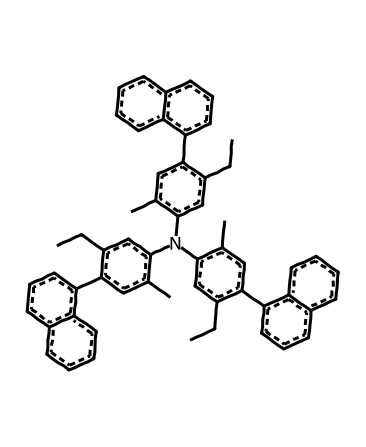 CCc1cc(N(c2cc(CC)c(-c3cccc4ccccc34)cc2C)c2cc(CC)c(-c3cccc4ccccc34)cc2C)c(C)cc1-c1cccc2ccccc12